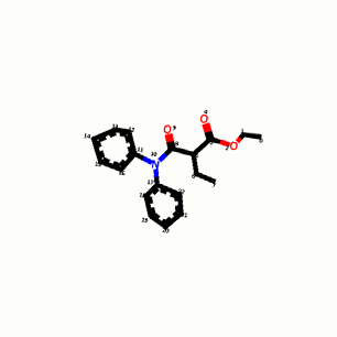 CCOC(=O)C(CC)C(=O)N(c1ccccc1)c1ccccc1